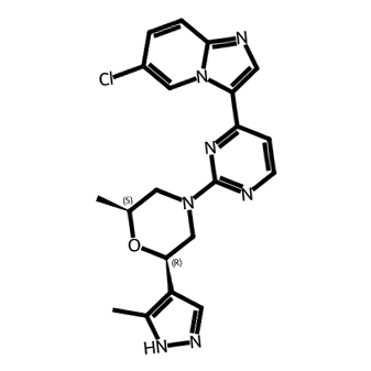 Cc1[nH]ncc1[C@@H]1CN(c2nccc(-c3cnc4ccc(Cl)cn34)n2)C[C@H](C)O1